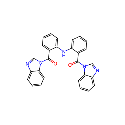 O=C(c1ccccc1Nc1ccccc1C(=O)n1cnc2ccccc21)n1cnc2ccccc21